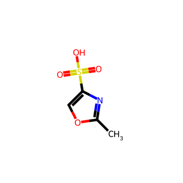 Cc1nc(S(=O)(=O)O)co1